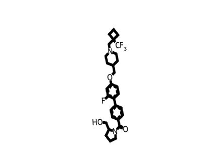 O=C(c1ccc(-c2ccc(OCC3CCN(CC4(C(F)(F)F)CCC4)CC3)cc2F)cc1)N1CCCC1CO